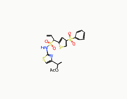 C=CC(c1cc(S(=O)(=O)c2ccccc2)cs1)S(=O)(=O)Nc1nc(C(C)OC(C)=O)cs1